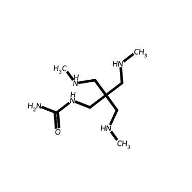 CNCC(CNC)(CNC)CNC(N)=O